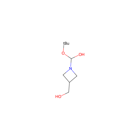 CC(C)(C)OC(O)N1CC(CO)C1